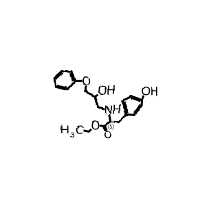 CCOC(=O)[C@H](Cc1ccc(O)cc1)NCC(O)COc1ccccc1